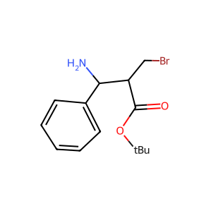 CC(C)(C)OC(=O)C(CBr)C(N)c1ccccc1